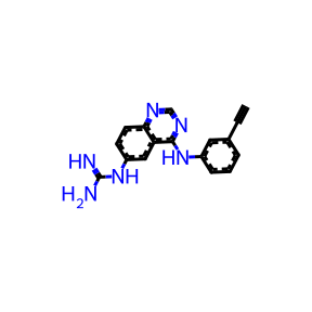 C#Cc1cccc(Nc2ncnc3ccc(NC(=N)N)cc23)c1